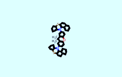 CC1(C)c2cc(N3c4ccccc4Sc4ccc5ccccc5c43)ccc2Oc2ccc(N3c4ccccc4Sc4ccc5ccccc5c43)cc21